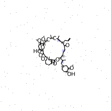 C=CC[C@@H]1/C=C(\C)C[C@H](C)C[C@H](OC)[C@H]2O[C@@](O)(C(=O)C(=O)N3CCCC[C@H]3C(=O)O[C@H](/C(C)=C/[C@@H]3CC[C@@H](O)[C@H](OC)C3)[C@@H](C)/C=C/C1=O)[C@H](C)C[C@@H]2OC